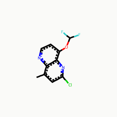 Cc1cc(Cl)nc2c(OC(F)F)ccnc12